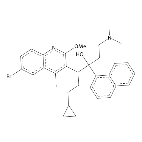 COc1nc2ccc(Br)cc2c(C)c1C(CCC1CC1)C(O)(CCN(C)C)c1cccc2ccccc12